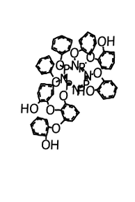 Oc1ccccc1Oc1cccc(Op2npn(Oc3ccccc3O)p(Oc3ccccc3O)n(Oc3ccccc3)p(Oc3ccccc3)n2Oc2ccccc2)c1Oc1ccccc1O